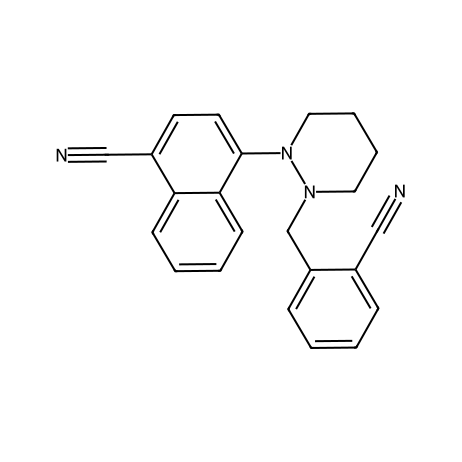 N#Cc1ccccc1CN1CCCCN1c1ccc(C#N)c2ccccc12